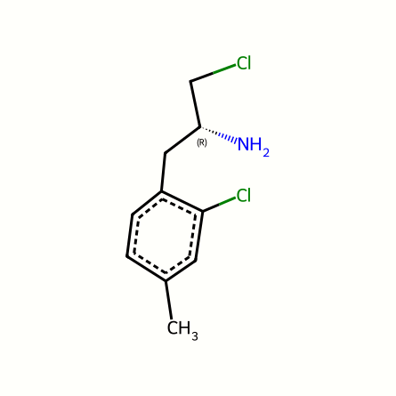 Cc1ccc(C[C@@H](N)CCl)c(Cl)c1